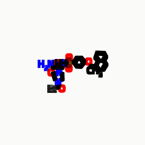 CCC(=O)N1CCN([C@](O)(CNS(=O)(=O)c2ccc(OC(C)c3cccc4ccccc34)cc2)C(N)=O)CC1